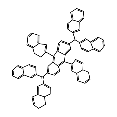 C1=CCC2C=CC(c3c4cc(N(c5ccc6ccccc6c5)c5ccc6ccccc6c5)ccc4c(C4=Cc5ccccc5CC4)c4cc(N(C5=CCC6CCC=CC6=C5)c5ccc6ccccc6c5)ccc34)=CC2=C1